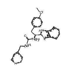 COc1ccc(CC(NC(=O)NCc2ccncc2)c2nc3ccccc3[nH]2)cc1